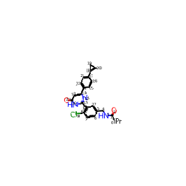 CC(C)C(=O)NCc1ccc(Cl)c(-c2nc(-c3ccc(C4CC4)cc3)cc(=O)[nH]2)c1